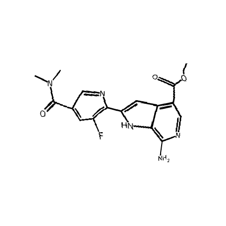 COC(=O)c1cnc(N)c2[nH]c(-c3ncc(C(=O)N(C)C)cc3F)cc12